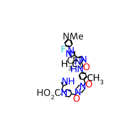 CNc1ccc(-n2cc(-c3cnc(C(=O)Nc4ccc(C(=O)N5CCN(C(=O)C6CC[N+](CC(=O)O)(CC7CNC7)CC6)CC5)c(C)c4)n3C)c(C(F)(F)F)n2)c(F)c1